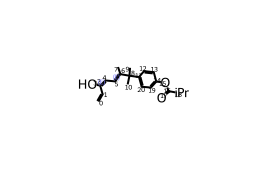 C=C/C(O)=C\C=C(/C)C(C)(C)c1ccc(OC(=O)C(C)C)cc1